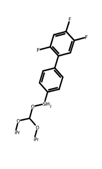 CC(C)OC(O[SiH2]c1ccc(-c2cc(F)c(F)cc2F)cc1)OC(C)C